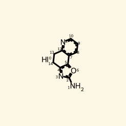 I.Nc1nc2c(o1)-c1cccnc1CC2